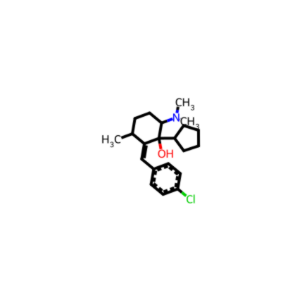 CC1CCC(N(C)C)C(O)(C2CCCC2)C1=Cc1ccc(Cl)cc1